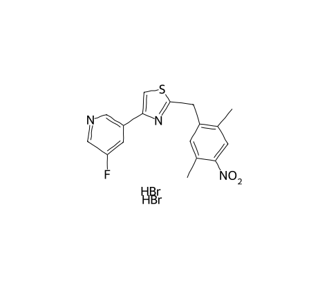 Br.Br.Cc1cc([N+](=O)[O-])c(C)cc1Cc1nc(-c2cncc(F)c2)cs1